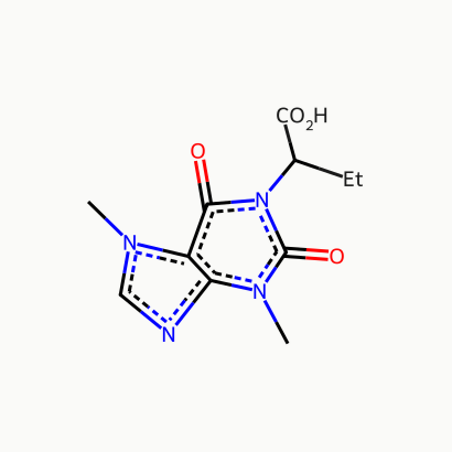 CCC(C(=O)O)n1c(=O)c2c(ncn2C)n(C)c1=O